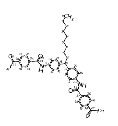 CCCCCCCCCC(c1ccc(NC(=O)c2ccc(C(=O)I)cc2)cc1)c1ccc(NC(=O)c2ccc(C(=O)I)cc2)cc1